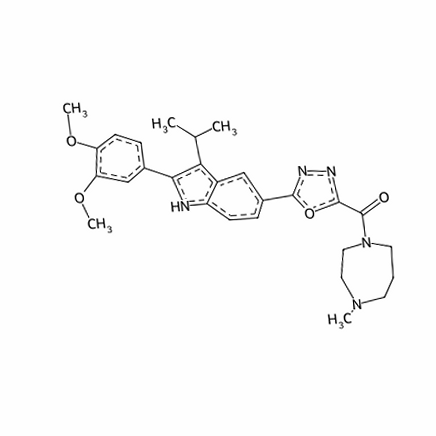 COc1ccc(-c2[nH]c3ccc(-c4nnc(C(=O)N5CCCN(C)CC5)o4)cc3c2C(C)C)cc1OC